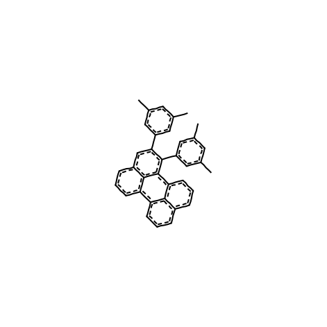 Cc1cc(C)cc(-c2cc3cccc4c5cccc6cccc(c(c2-c2cc(C)cc(C)c2)c34)c65)c1